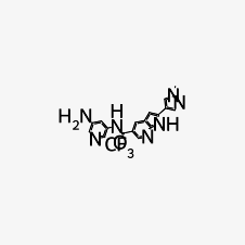 Cn1cc(-c2cc3cc(C(=O)Nc4cc(N)cnc4C(F)(F)F)cnc3[nH]2)cn1